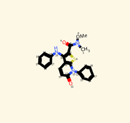 CON(C)C(=O)c1sc2c(ccc(=O)n2-c2ccccc2)c1Nc1ccccc1